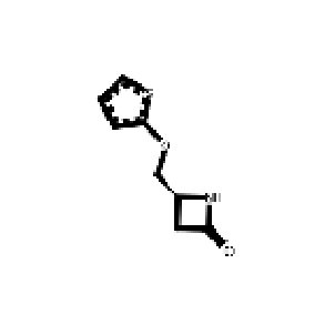 O=C1C[C@@H](COc2cccs2)N1